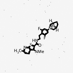 CNc1c(C(=O)NCCc2c(F)cc(N3C[C@H]4CC[C@@H](C3)N4)cc2F)sc2nc(C)ccc12